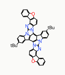 CC(C)(C)c1ccc2c(c1)c1c3c(c4c5cc(C(C)(C)C)ccc5n5c4c1n1c4ccc6oc7ccccc7c6c4nc51)n1c4ccc5oc6ccccc6c5c4nc1n23